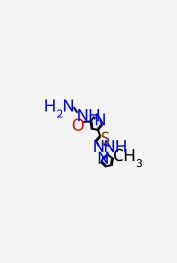 Cc1cccnc1Nc1ncc(-c2cncc(C(=O)NCCN)c2)s1